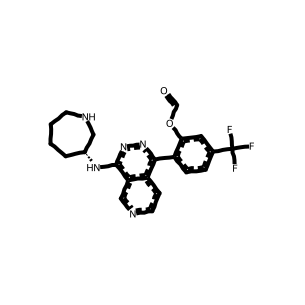 O=COc1cc(C(F)(F)F)ccc1-c1nnc(N[C@@H]2CCCCNC2)c2cnccc12